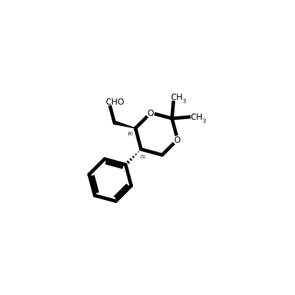 CC1(C)OC[C@H](c2ccccc2)[C@@H](CC=O)O1